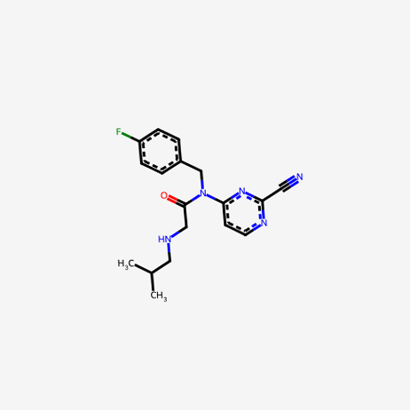 CC(C)CNCC(=O)N(Cc1ccc(F)cc1)c1ccnc(C#N)n1